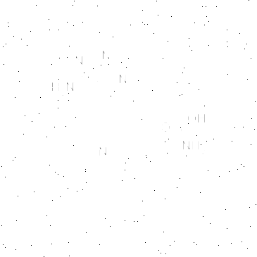 NC(=O)O.Nc1ncnc2c1c(-c1ccc3ccc(-c4ccccc4)nc3c1)cn2C1CCCCC1